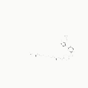 Cn1ncc(-c2nc(NC3CCC(NCC(=O)NCCCCCNC(=O)OC(C)(C)C)CC3)ncc2Cl)c1CC1CC1